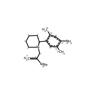 C=C(CN1CCCCC1c1cc(C)c(N)cc1C)NC